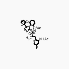 COc1cccc(OC)c1-n1c(NS(=O)(=O)C(C)Cc2ncc(F)cc2NC(C)=O)nnc1-c1ccco1